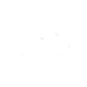 Cc1cc(Cl)cc(NC(=O)[C@H](Br)C(C)C)c1O